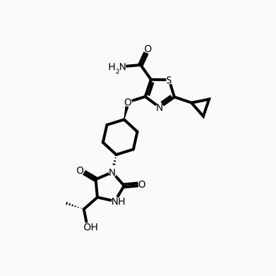 C[C@@H](O)C1NC(=O)N([C@H]2CC[C@H](Oc3nc(C4CC4)sc3C(N)=O)CC2)C1=O